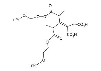 CCCOCCOC(=O)C(C)C(=C(CC(=O)O)C(=O)O)C(C)C(=O)OCCOCCC